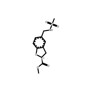 COC(=O)[C@@H]1Cc2cc(CNS(C)(=O)=O)ccc2O1